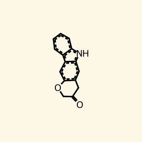 O=C1COc2cc3c(cc2C1)[nH]c1ccccc13